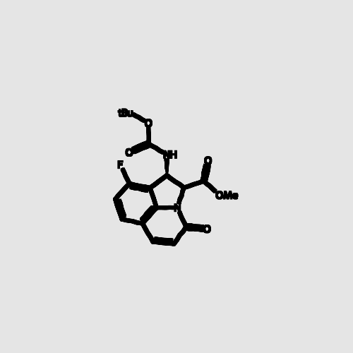 COC(=O)C1[C@H](NC(=O)OC(C)(C)C)c2c(F)ccc3ccc(=O)n1c23